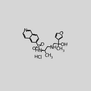 C[C@H](CNCC(C)(O)c1ccoc1)NS(=O)(=O)c1ccc2cnccc2c1.Cl